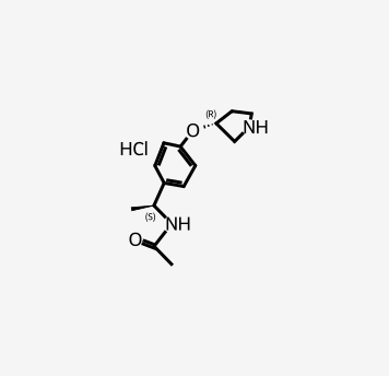 CC(=O)N[C@@H](C)c1ccc(O[C@@H]2CCNC2)cc1.Cl